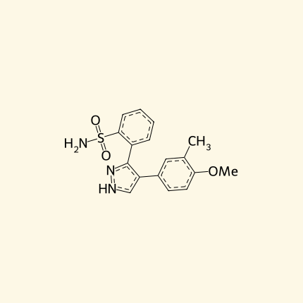 COc1ccc(-c2c[nH]nc2-c2ccccc2S(N)(=O)=O)cc1C